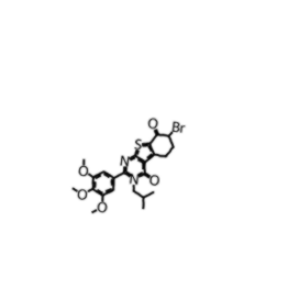 COc1cc(-c2nc3sc4c(c3c(=O)n2CC(C)C)CCC(Br)C4=O)cc(OC)c1OC